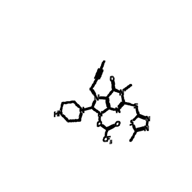 CC#CCN1c2c(nc(Sc3nnc(C)s3)n(C)c2=O)N(OC(=O)C(F)(F)F)C1N1CCNCC1